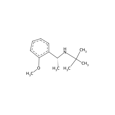 COc1ccccc1[C@@H](C)NC(C)(C)C